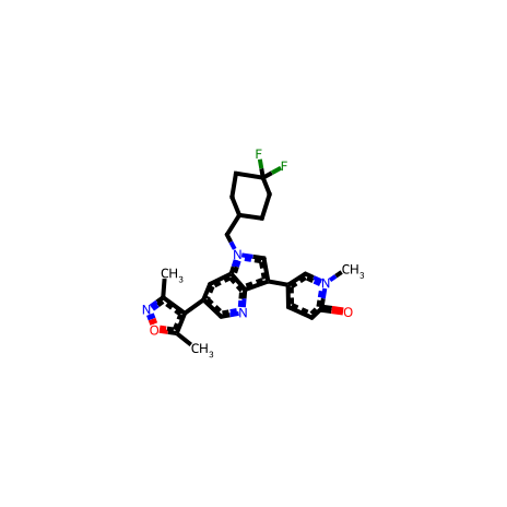 Cc1noc(C)c1-c1cnc2c(-c3ccc(=O)n(C)c3)cn(CC3CCC(F)(F)CC3)c2c1